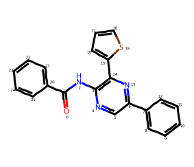 O=C(Nc1ncc(-c2ccccc2)nc1-c1cccs1)c1ccccc1